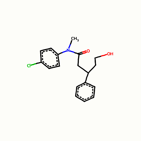 CN(C(=O)CC(CCO)c1ccccc1)c1ccc(Cl)cc1